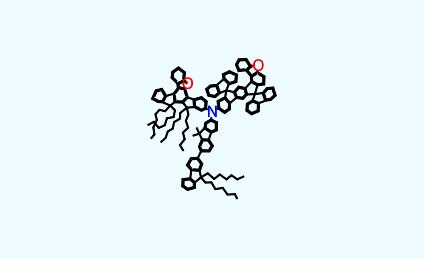 CCCCCCCC1(CCCCCCC)c2ccccc2-c2ccc(-c3ccc4c(c3)C(C)(C)c3cc(N(c5ccc6c(c5)C(CCCCCCC)(CCCCCCC)c5c7c(c8c(oc9ccccc98)c5-6)-c5ccccc5C7(CCCCCCC)CCCCCCC)c5ccc6c(c5)C5(c7ccccc7-c7ccccc75)c5cc7c(cc5-6)C5(c6ccccc6-c6ccccc65)c5ccc6oc8ccccc8c6c5-7)ccc3-4)cc21